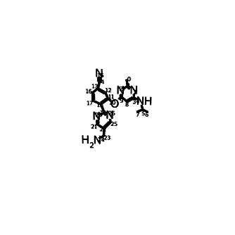 Cc1nc(NC(C)C)cc(Oc2cc(C#N)ccc2-c2ncc(CN)cn2)n1